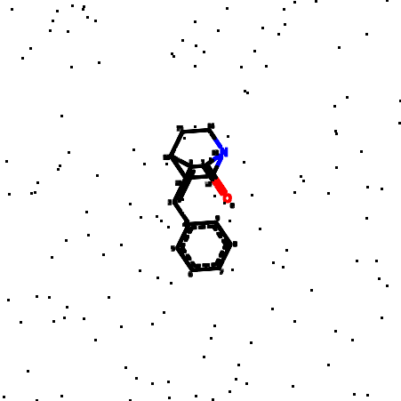 O=C1/C(=C\c2ccccc2)C2CCN1CC2